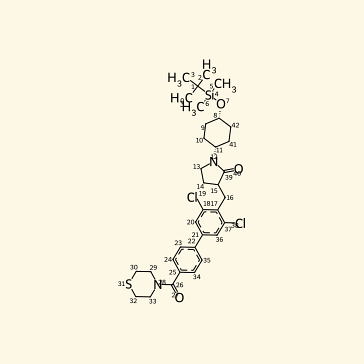 CC(C)(C)[Si](C)(C)O[C@H]1CC[C@@H](N2CCC(Cc3c(Cl)cc(-c4ccc(C(=O)N5CCSCC5)cc4)cc3Cl)C2=O)CC1